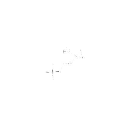 CC(C)(C)CCCC1(O)CC1